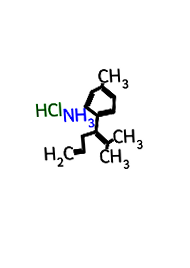 C=CCC(=C(C)C)c1ccc(C)cc1.Cl.N